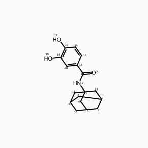 O=C(NC12CC3CC(CC(C3)C1)C2)c1ccc(O)c(O)c1